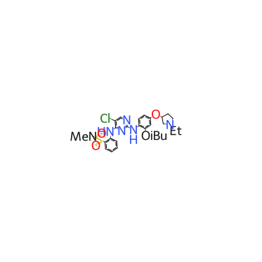 CCN1CCC(Oc2ccc(Nc3ncc(Cl)c(Nc4ccccc4S(=O)(=O)NC)n3)c(OCC(C)C)c2)C1